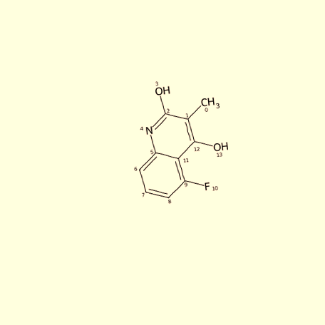 Cc1c(O)nc2cccc(F)c2c1O